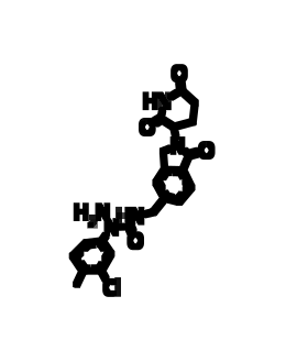 Cc1ccc(N(N)C(=O)NCc2ccc3c(c2)CN(C2CCC(=O)NC2=O)C3=O)cc1Cl